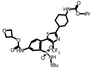 CC(C)OC(=O)NC1CCC(c2nc(C(F)(F)F)c(-c3ccc(NC(=O)OC4COC4)cc3S(=O)(=O)NC(C)(C)C)s2)CC1